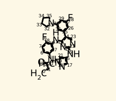 C=CC(=O)Nc1ccc(F)c(Nc2nc(Nc3cnn(C)c3)ncc2-c2cc(F)cc(N3CCCC3)c2)c1